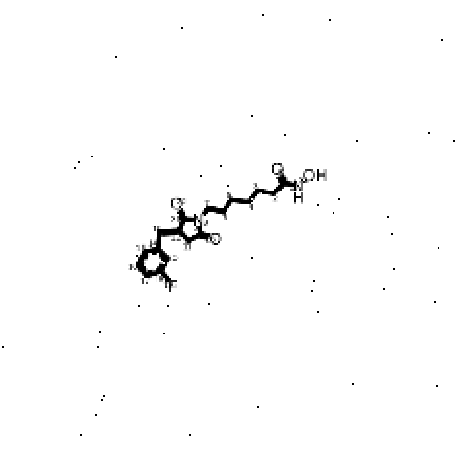 O=C(CCCCCCN1C(=O)C/C(=C\c2cccc(F)c2)C1=O)NO